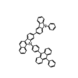 c1ccc(-c2c3ccccc3c(-c3ccc(-n4c5cc(-c6ccc7c(c6)c6ccccc6n7-c6ccccc6)ccc5c5ccc6ccccc6c54)cc3)c3ccccc23)cc1